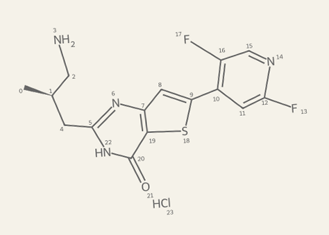 C[C@@H](CN)Cc1nc2cc(-c3cc(F)ncc3F)sc2c(=O)[nH]1.Cl